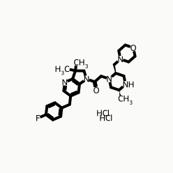 C[C@@H]1CN(CC(=O)N2CC(C)(C)c3ncc(Cc4ccc(F)cc4)cc32)[C@@H](CN2CCOCC2)CN1.Cl.Cl